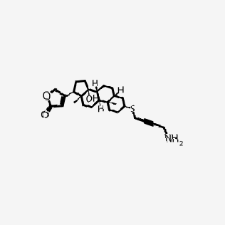 C[C@]12CC[C@H](SCC#CCN)C[C@H]1CC[C@@H]1[C@@H]2CC[C@]2(C)[C@@H](C3=CC(=O)OC3)CC[C@]12O